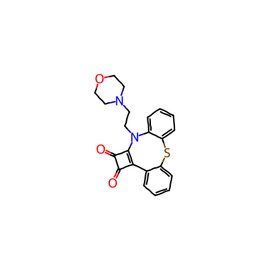 O=c1c(=O)c2c1c1ccccc1sc1ccccc1n2CCN1CCOCC1